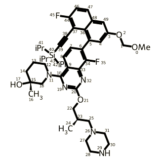 COCOc1cc(-c2ccc3c(N4CCC[C@@](C)(O)C4)nc(OC[C@H](C)CN4CCNCC4)nc3c2F)c2c(C#C[Si](C(C)C)(C(C)C)C(C)C)c(F)ccc2c1